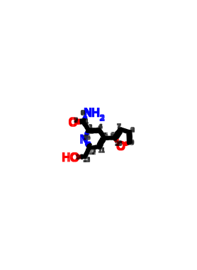 NC(=O)c1cc(-c2ccco2)cc(CO)n1